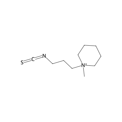 C[N+]1(CCCN=C=S)CCCCC1